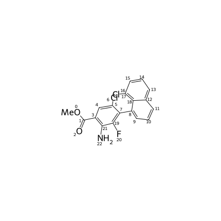 COC(=O)c1cc(Cl)c(-c2cccc3cccc(Cl)c23)c(F)c1N